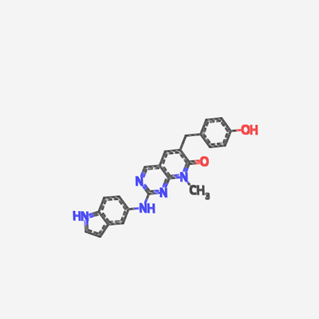 Cn1c(=O)c(Cc2ccc(O)cc2)cc2cnc(Nc3ccc4[nH]ccc4c3)nc21